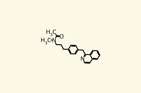 CC(=O)N(C)CCCc1ccc(Cc2nccc3ccccc23)cc1